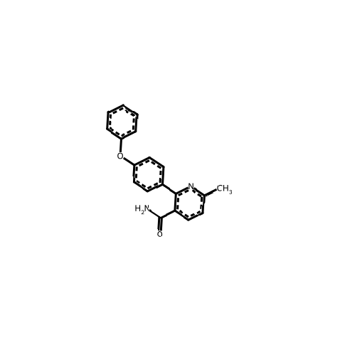 Cc1ccc(C(N)=O)c(-c2ccc(Oc3ccccc3)cc2)n1